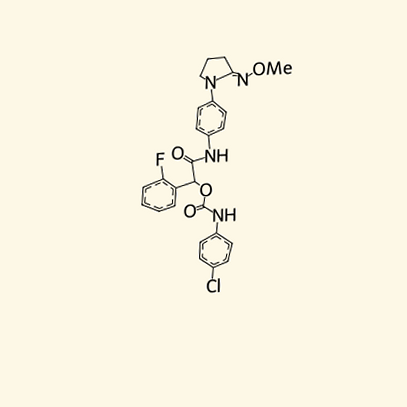 CON=C1CCCN1c1ccc(NC(=O)C(OC(=O)Nc2ccc(Cl)cc2)c2ccccc2F)cc1